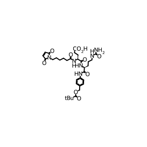 CC(C)(C)C(=O)OCc1ccc(NC(=O)[C@H](CCCNC(N)=O)NC(=O)[C@H](CCC(=O)O)NC(=O)CCCCCN2C(=O)C=CC2=O)cc1